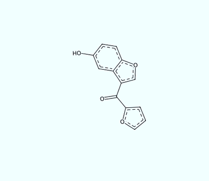 O=C(c1ccco1)c1coc2ccc(O)cc12